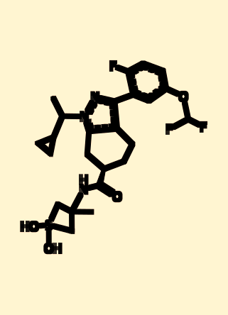 CC(C1CC1)n1nc(-c2cc(OC(F)F)ccc2F)c2c1C[C@H](C(=O)NC1(C)CS(O)(O)C1)CC2